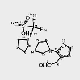 C1CCCC1.O=CCc1ccsc1C1CCCC1.O=S(=O)(O)C(F)(F)F